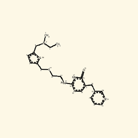 CCN(C)Cc1ccc(CSCCNc2ncc(Cc3cccnc3)c(=O)[nH]2)s1